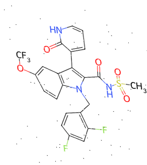 CS(=O)(=O)NC(=O)c1c(-c2ccc[nH]c2=O)c2cc(OC(F)(F)F)ccc2n1Cc1ccc(F)cc1F